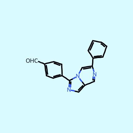 O=Cc1ccc(-c2ncc3cnc(-c4ccccc4)cn23)cc1